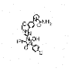 CC(C)C1C(=O)N(c2ccc(Cl)cc2)C(O)N1c1cn2c(n1)-c1ccc(N3CCC[C@H]3C(N)=O)cc1OCC2